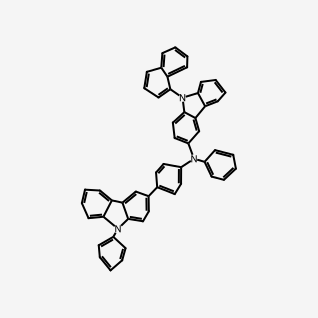 c1ccc(N(c2ccc(-c3ccc4c(c3)c3ccccc3n4-c3ccccc3)cc2)c2ccc3c(c2)c2ccccc2n3-c2cccc3ccccc23)cc1